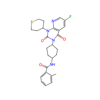 Cc1ccccc1C(=O)NC1CCC(n2c(=O)c3cc(F)cnc3n(C3CCSCC3)c2=O)CC1